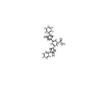 COC(=O)c1cc(-c2n[nH]c(-c3ccccc3)n2)cc(-c2n[nH]c(-c3ccccc3)n2)c1